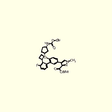 COC(=O)c1nn(C)cc1-c1ccc(O[C@@H]2CC[C@@H](NC(=O)OC(C)(C)C)C2)c(-c2cccc(F)c2C2CCC2)c1